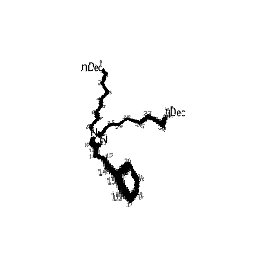 CCCCCCCCCCCCCCCCCCn1cc(CCCc2ccccc2)nc1CCCCCCCCCCCCCCCC